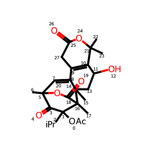 CC(=O)OC1(C(C)C)C(=O)C2(C)C=C3C4=C(C(O)CC3(C)C1(C)C(=O)O2)C(C)(C)OC(=O)C4